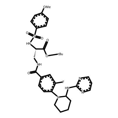 COc1ccc(S(=O)(=O)N[C@@H](CNC(=O)c2ccc(N3CCCCC3Nc3ncccn3)c(F)c2)C(=O)OC(C)(C)C)cc1